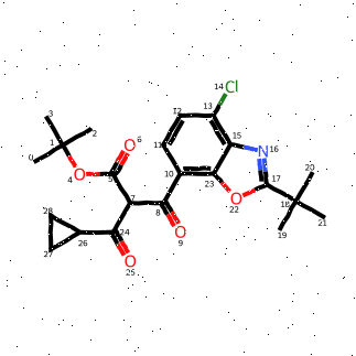 CC(C)(C)OC(=O)C(C(=O)c1ccc(Cl)c2nc(C(C)(C)C)oc12)C(=O)C1CC1